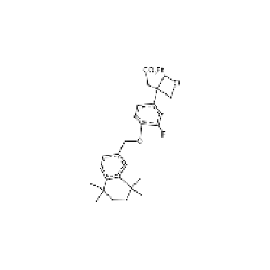 CCOC(=O)CC1(c2ccc(OCc3ccc4c(c3)C(C)(C)CCC4(C)C)c(F)c2)COC1